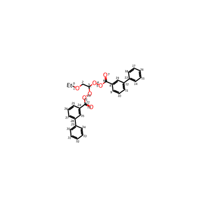 [CH2]COC[C](OOC(=O)c1cccc(-c2ccccc2)c1)OOC(=O)c1cccc(-c2ccccc2)c1